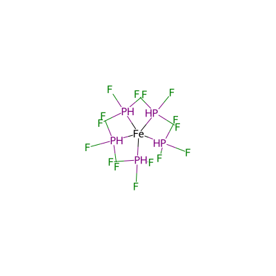 F[PH](F)(F)[Fe]([PH](F)(F)F)([PH](F)(F)F)([PH](F)(F)F)[PH](F)(F)F